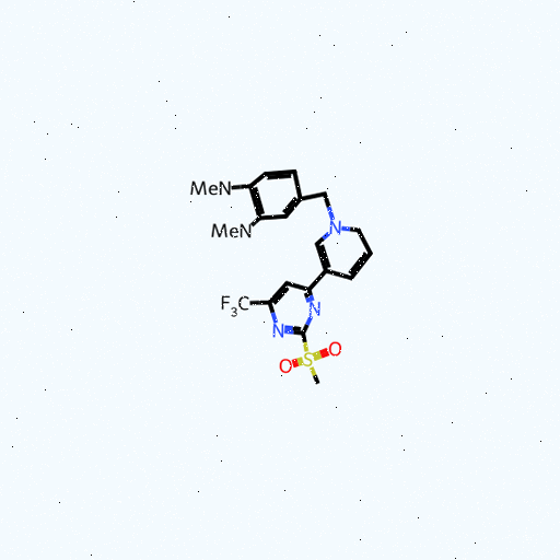 CNc1ccc(CN2C=C(c3cc(C(F)(F)F)nc(S(C)(=O)=O)n3)C=CC2)cc1NC